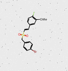 COc1cc(C=CS(=O)(=O)Cc2ccc(Br)cc2)ccc1F